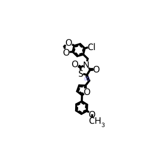 COc1cccc(-c2ccc(/C=C3\SC(=O)N(Cc4cc5c(cc4Cl)OCO5)C3=O)o2)c1